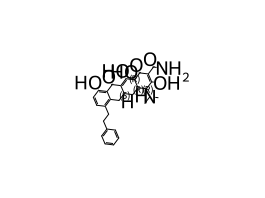 CN(C)[C@H]1C(O)=C(C(N)=O)C(=O)[C@]2(O)C(O)=C3C(=O)c4c(O)ccc(CCc5ccccc5)c4C[C@@H]3C[C@H]12